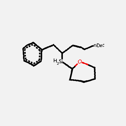 CCCCCCCCCCCCC(Cc1ccccc1)[SiH2]C1CCCCO1